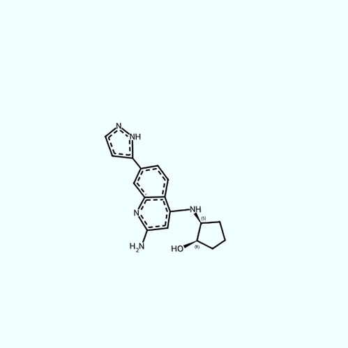 Nc1cc(N[C@H]2CCC[C@H]2O)c2ccc(-c3ccn[nH]3)cc2n1